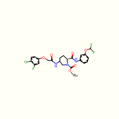 CC(C)(C)OC(=O)N1CC(NC(=O)COc2ccc(Cl)c(F)c2)CC[C@H]1C(=O)Nc1cccc(OC(F)F)c1